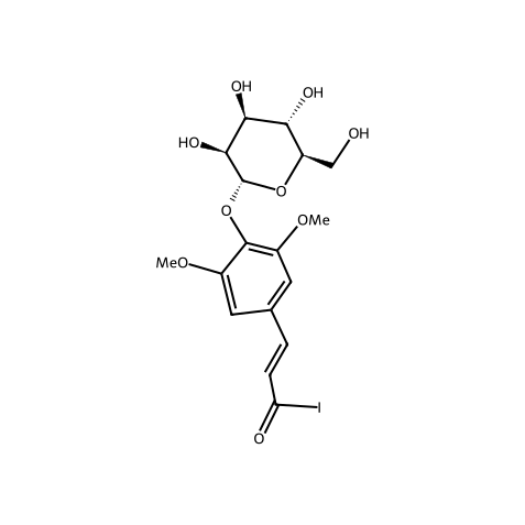 COc1cc(/C=C/C(=O)I)cc(OC)c1O[C@H]1O[C@H](CO)[C@@H](O)[C@H](O)[C@@H]1O